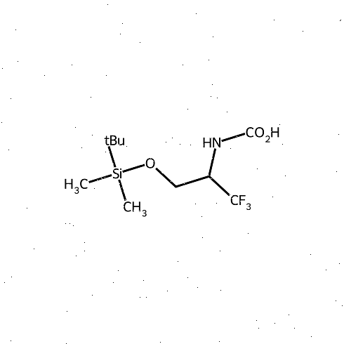 CC(C)(C)[Si](C)(C)OCC(NC(=O)O)C(F)(F)F